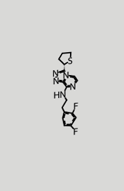 Fc1ccc(CCNc2nccn3c([C@@H]4CCCS4)nnc23)c(F)c1